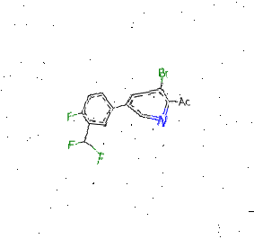 CC(=O)c1ncc(-c2ccc(F)c(C(F)F)c2)cc1Br